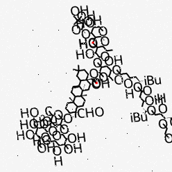 CC[C@H](C)[C@H](C[C@H](O)CC(=O)O[C@@H](C[C@H](O)CC(=O)O[C@@H]1C(C)O[C@@H](OC(=O)[C@]23CCC(C)(C)CC2C2=CCC4[C@@]5(C)CC[C@H](O[C@@H]6OC(C(=O)O)[C@H](O)C(O[C@@H]7OC(CO)[C@@H](O)C(O)C7O)C6O[C@@H]6OC(CO)[C@H](O)C(O)C6O)[C@@](C)(C=O)C5CC[C@@]4(C)[C@]2(C)C[C@H]3O)C(O[C@@H]2OC(C)[C@H](O[C@H]3OCC(O)[C@H](O[C@@H]4OCC(O)(CO)C4O)C3O)C(O)C2O)C1O)[C@@H](C)CC)OCC(O)[C@H](CO)OCCO